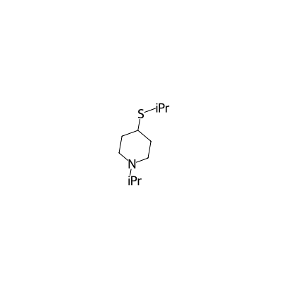 CC(C)SC1CCN(C(C)C)CC1